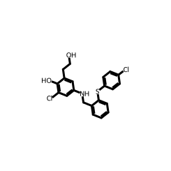 OCCc1cc(NCc2ccccc2Sc2ccc(Cl)cc2)cc(Cl)c1O